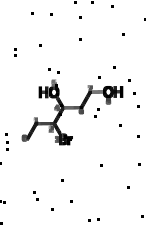 CCC(Br)C(O)CCO